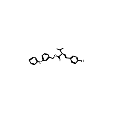 CC(C)C(C=Cc1ccc(Cl)cc1)C(=O)OCc1cccc(Oc2ccccc2)c1